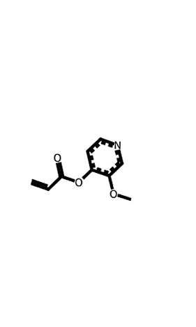 C=CC(=O)Oc1ccncc1OC